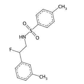 Cc1ccc(S(=O)(=O)NCC(F)c2cccc(C)c2)cc1